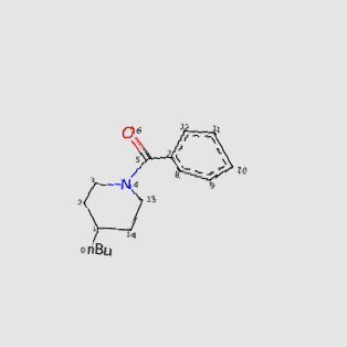 CCCCC1CCN(C(=O)c2ccccc2)CC1